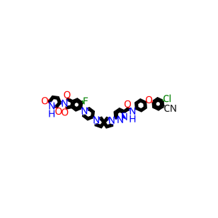 N#Cc1ccc(O[C@H]2CC[C@H](NC(=O)c3ccc(N4CCC5(CCN(C6CCN(c7cc8c(cc7F)C(=O)N(C7CCC(=O)NC7=O)C8=O)CC6)C5)C4)nn3)CC2)cc1Cl